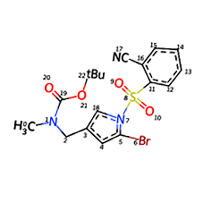 CN(Cc1cc(Br)n(S(=O)(=O)c2ccccc2C#N)c1)C(=O)OC(C)(C)C